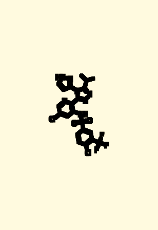 CC(C)c1nnc(-c2ncc(Cl)cc2NS(=O)(=O)c2ccc(Cl)c(C(F)(F)F)c2)n1-c1cc[nH]n1